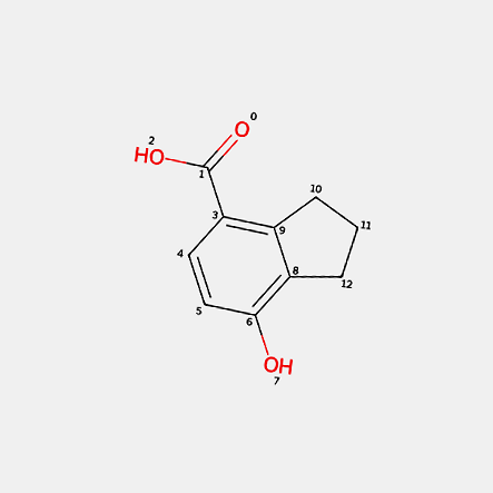 O=C(O)c1ccc(O)c2c1CCC2